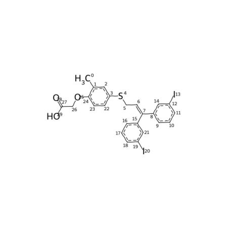 Cc1cc(SCC=C(c2cccc(I)c2)c2cccc(I)c2)ccc1OCC(=O)O